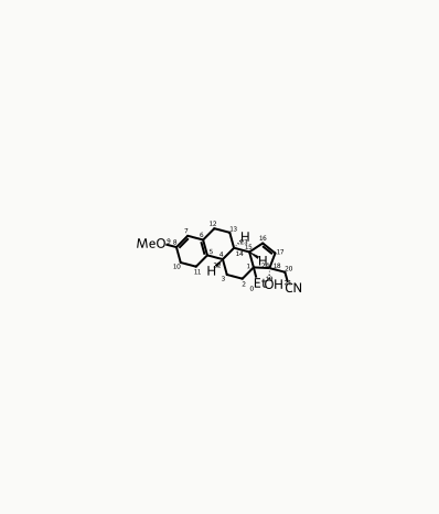 CCC12CC[C@@H]3C4=C(C=C(OC)CC4)CC[C@H]3[C@@H]1C=C[C@@]2(O)CC#N